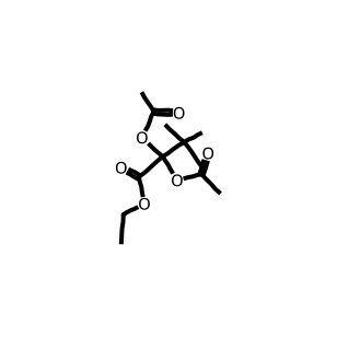 CCOC(=O)C(OC(C)=O)(OC(C)=O)C(C)(C)C